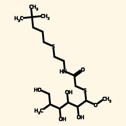 COC(SCC(=O)NCCSCCCC(C)(C)C)C(O)C(O)C(O)C(C)CO